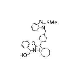 CSc1nc2ccccc2n1Cc1ccc(C(C(=O)NC(CO)c2ccccc2)C2CCCCCC2)cc1